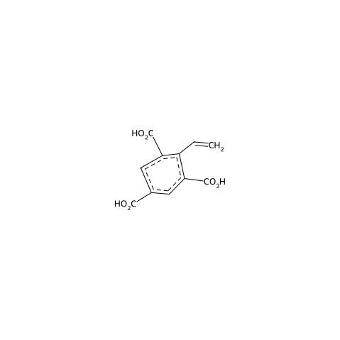 C=Cc1c(C(=O)O)cc(C(=O)O)cc1C(=O)O